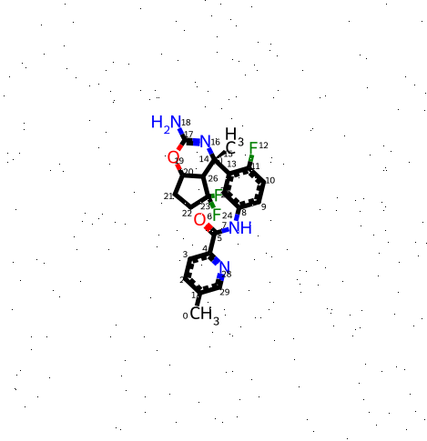 Cc1ccc(C(=O)Nc2ccc(F)c([C@@]3(C)N=C(N)OC4CCC(F)(F)C43)c2)nc1